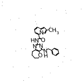 Cc1cc2cccc(C(=O)Nc3nc4c(c(NCc5ccccc5)n3)OCCCC4)n2c1